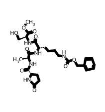 COC(=O)[C@H](CO)NC(=O)[C@H](CCCCNC(=O)OCc1ccccc1)NC(=O)[C@H](C)NC(=O)[C@@H]1CCC(=O)N1